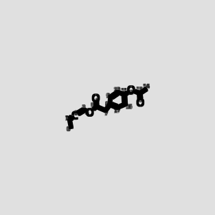 CC=C=COC(=O)Cc1ccc(OC(C)=O)cc1